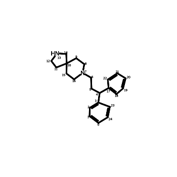 c1ccc(C(CCN2CCC3(CCNC3)CC2)c2ccccc2)cc1